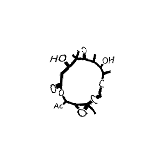 CC(=O)C1OC(=O)CC(O)C(C)(C)C(=O)C(C)C(O)C(C)CCCC2(C)OC12